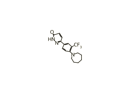 O=c1ccc(-c2ccc(N3CCCCCC3)c(C(F)(F)F)c2)n[nH]1